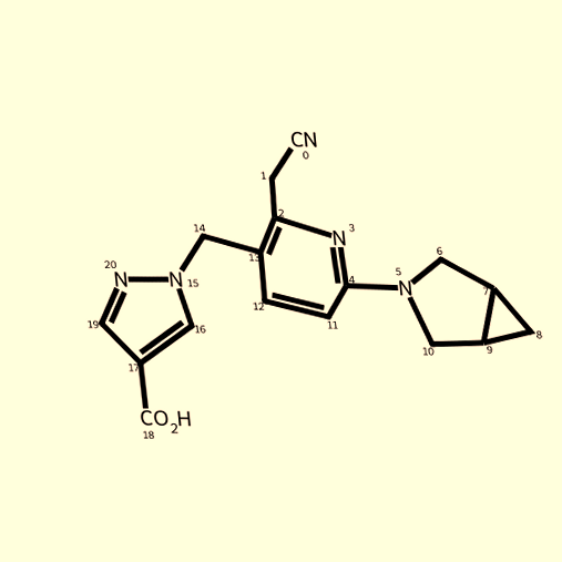 N#CCc1nc(N2CC3CC3C2)ccc1Cn1cc(C(=O)O)cn1